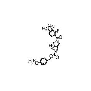 O=C(c1ccc2[nH]nnc2c1F)N1C=C2CN(C(=O)OCc3ccc(OC(F)(F)F)cc3)C[C@@H]2C1